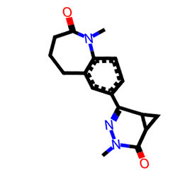 CN1N=C(c2ccc3c(c2)CCCC(=O)N3C)C2CC2C1=O